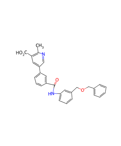 Cc1ncc(-c2cccc(C(=O)Nc3cccc(COCc4ccccc4)c3)c2)cc1C(=O)O